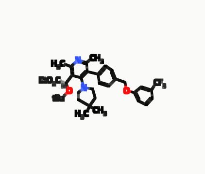 CCOC(=O)[C@@H](OC(C)(C)C)c1c(C)nc(C)c(-c2ccc(COc3cccc(C(F)(F)F)c3)cc2)c1N1CCC(C)(C)CC1